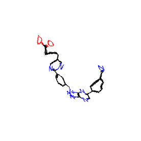 COC(=O)/C=C/c1cnc(-c2cccc(Cn3nnc4ncc(-c5cccc(C#N)c5)nc43)c2)nc1